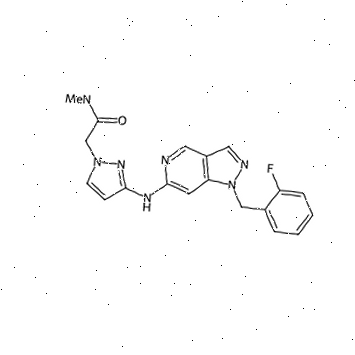 CNC(=O)Cn1ccc(Nc2cc3c(cn2)cnn3Cc2ccccc2F)n1